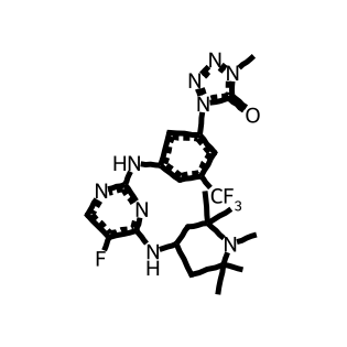 CN1C(C)(C)CC(Nc2nc(Nc3cc(-n4nnn(C)c4=O)cc(C(F)(F)F)c3)ncc2F)CC1(C)C